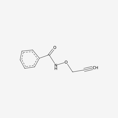 C#CCONC(=O)c1ccccc1